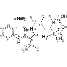 CC(C)(C)C1CC(C(CC#N)n2cc(C(N)=O)c(Nc3ccccc3)n2)CCN1C(=O)O